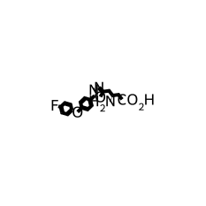 N[C@@H](CC(=O)O)Cc1nnc(-c2ccc(Oc3ccc(F)cc3)cc2)o1